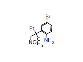 CCC(C)(CN=O)c1cc(Br)ccc1N